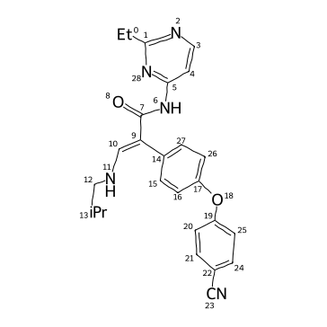 CCc1nccc(NC(=O)/C(=C/NCC(C)C)c2ccc(Oc3ccc(C#N)cc3)cc2)n1